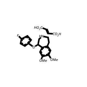 COc1cc2c(cc1OC)C(Oc1ccc(F)cc1)CNCC2.O=C(O)C=CC(=O)O